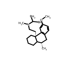 BC(B)N(C)CC[C@@]12CCCCC1[C@@H](C)Cc1ccc(OC)cc12